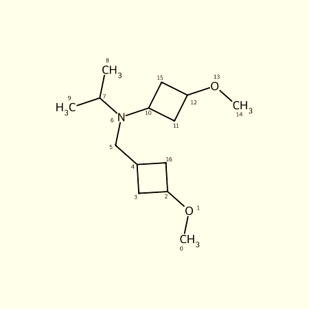 COC1CC(CN(C(C)C)C2CC(OC)C2)C1